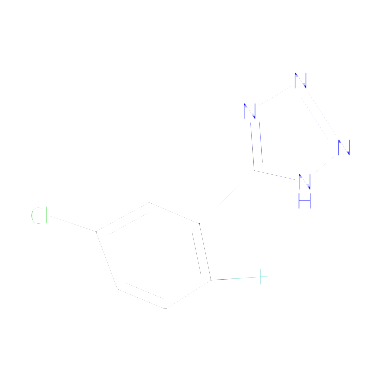 Fc1ccc(Cl)cc1-c1nnn[nH]1